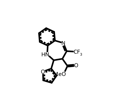 COC(=O)C1C(C(F)(F)F)=Nc2ccccc2NC1c1ccco1